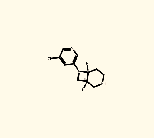 Clc1cncc(N2C[C@H]3CNCC[C@H]32)c1